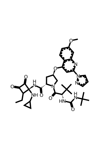 CCC1C(=O)C(=O)[C@]1(NC(=O)[C@@H]1C[C@@H](Oc2cc(-n3cccn3)nc3cc(OC)ccc23)CN1C(=O)[C@@H](NC(=O)NC(C)(C)C)C(C)(C)C)NC1CC1